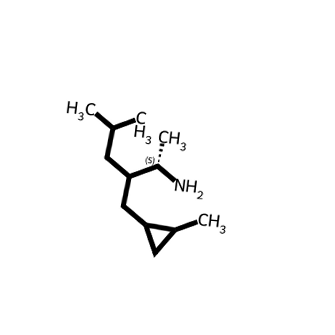 CC(C)CC(CC1CC1C)[C@H](C)N